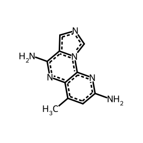 Cc1cc(N)nc2c1nc(N)c1cncn12